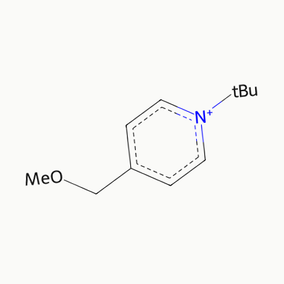 COCc1cc[n+](C(C)(C)C)cc1